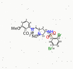 COc1cccc(N(C[C@H]2C[C@@H](NS(=O)(=O)c3cc(Br)ccc3Br)CN2C#N)C(=O)O)c1